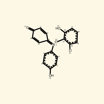 O=C1C=CC(=Nc2ccc(O)cc2)C=C1.Oc1cccc(Cl)c1Cl